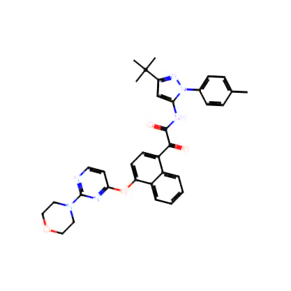 Cc1ccc(-n2nc(C(C)(C)C)cc2NC(=O)C(=O)c2ccc(Oc3ccnc(N4CCOCC4)n3)c3ccccc23)cc1